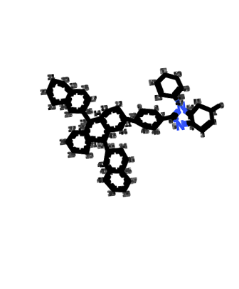 CC1C=Cc2nc(-c3ccc(-c4ccc5c(-c6ccc7ccccc7c6)c6ccccc6c(-c6ccc7ccccc7c6)c5c4)cc3)n(C3=CCCC=C3)c2C1